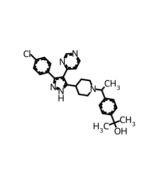 CC(c1ccc(C(C)(C)O)cc1)N1CCC(c2[nH]nc(-c3ccc(Cl)cc3)c2-c2ccncn2)CC1